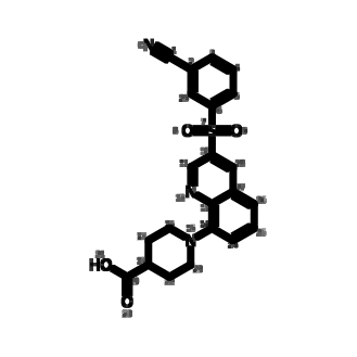 N#Cc1cccc(S(=O)(=O)c2cnc3c(N4CCC(C(=O)O)CC4)cccc3c2)c1